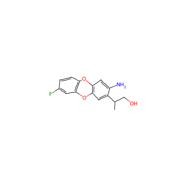 CC(CO)c1cc2c(cc1N)Oc1ccc(F)cc1O2